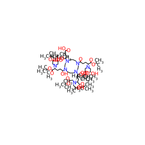 CC(O)CN(CC(=O)OC(C)(C)C)C(CC[C@@H](O)N1CCCN(C(O)CCC(C(=O)OC(C)(C)C)N(CC(=O)OC(C)(C)C)CC(=O)OC(C)(C)C)CCN(C(O)CCC(=O)O)CCCN(C(=O)CCC(C(=O)OC(C)C)N(CC(=O)OC(C)(C)C)CC(O)OC(C)(C)C)CC1)C(O)OC(C)(C)C